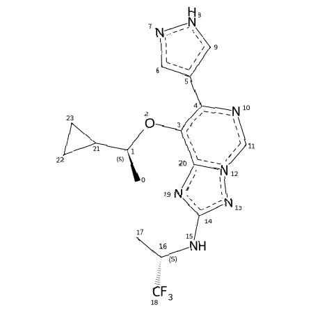 C[C@H](Oc1c(-c2cn[nH]c2)ncn2nc(N[C@@H](C)C(F)(F)F)nc12)C1CC1